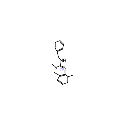 CS/C(=N\c1c(C)cccc1C)NCc1ccccc1